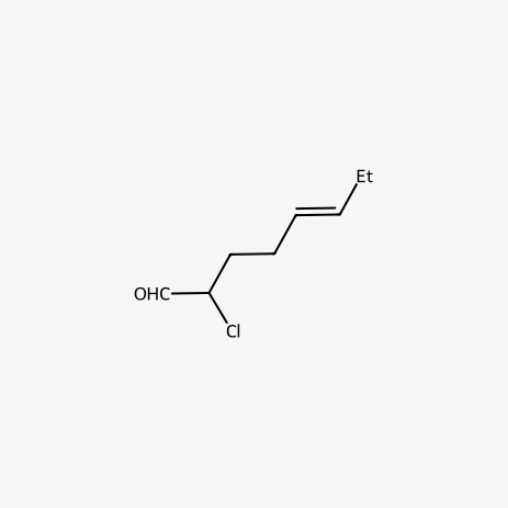 CCC=CCCC(Cl)C=O